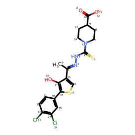 C/C(=N\NC(=S)N1CCC(C(=O)O)CC1)c1csc(-c2ccc(Cl)c(Cl)c2)c1O